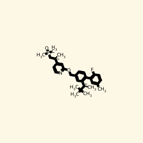 Cc1ccc(F)c(-c2ccc(COc3cc([C@H](C)CP(C)(C)=O)ccn3)cc2[C@@H](C)C(C)(C)C)c1